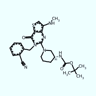 CNc1csc2c(=O)n(Cc3ccccc3C#N)c(N3CCC[C@@H](NC(=O)OC(C)(C)C)C3)nc12